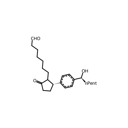 CCCCC[C@H](O)c1ccc([C@@H]2CCC(=O)C2CCCCCCC=O)cc1